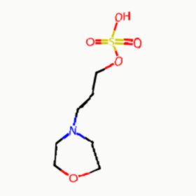 O=S(=O)(O)OCCCN1CCOCC1